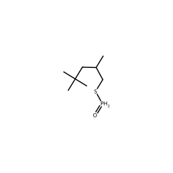 CC(CS[PH2]=O)CC(C)(C)C